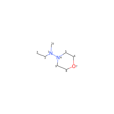 [CH2]N(CC)N1CCOCC1